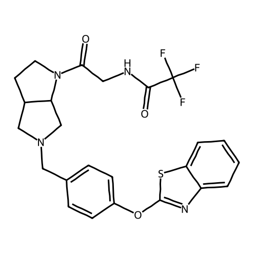 O=C(CNC(=O)C(F)(F)F)N1CCC2CN(Cc3ccc(Oc4nc5ccccc5s4)cc3)CC21